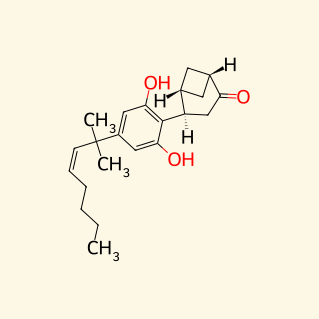 CCCC/C=C\C(C)(C)c1cc(O)c([C@@H]2CC(=O)[C@H]3C[C@@H]2C3)c(O)c1